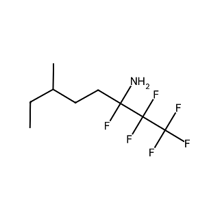 CCC(C)CCC(N)(F)C(F)(F)C(F)(F)F